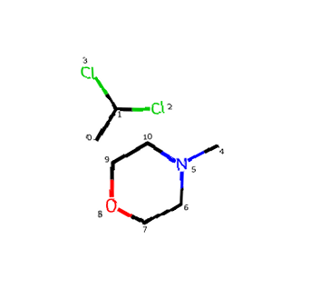 CC(Cl)Cl.CN1CCOCC1